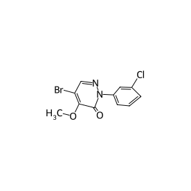 COc1c(Br)cnn(-c2cccc(Cl)c2)c1=O